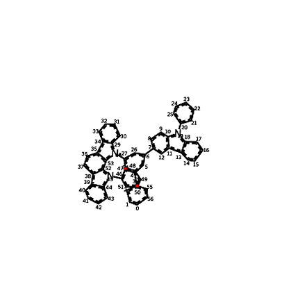 c1ccc(-c2cc(-c3ccc4c(c3)c3ccccc3n4-c3ccccc3)cc(-n3c4ccccc4c4ccc5c6ccccc6n(-c6ccccc6)c5c43)c2)cc1